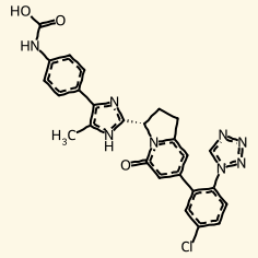 Cc1[nH]c([C@@H]2CCc3cc(-c4cc(Cl)ccc4-n4cnnn4)cc(=O)n32)nc1-c1ccc(NC(=O)O)cc1